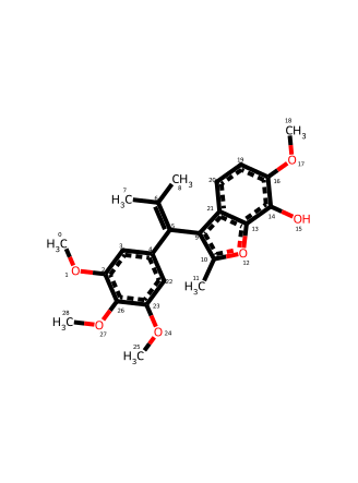 COc1cc(C(=C(C)C)c2c(C)oc3c(O)c(OC)ccc23)cc(OC)c1OC